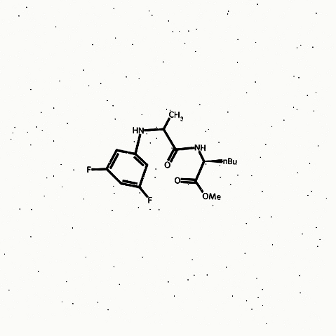 CCCC[C@H](NC(=O)C(C)Nc1cc(F)cc(F)c1)C(=O)OC